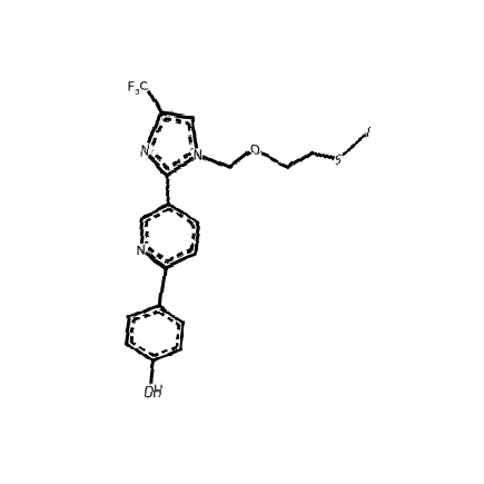 Oc1ccc(-c2ccc(-c3nc(C(F)(F)F)cn3COCCSI)cn2)cc1